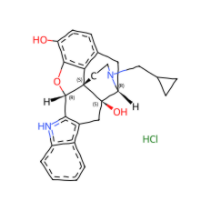 Cl.Oc1ccc2c3c1O[C@H]1c4[nH]c5ccccc5c4C[C@@]4(O)[C@@H](C2)N(CC2CC2)CC[C@]314